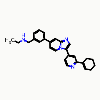 CCNCc1cccc(-c2ccn3c(-c4ccnc(C5=CCCCC5)c4)cnc3c2)c1